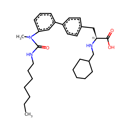 CCCCCCCNC(=O)N(C)c1cccc(-c2ccc(C[C@H](NCC3CCCCC3)C(=O)O)cc2)c1